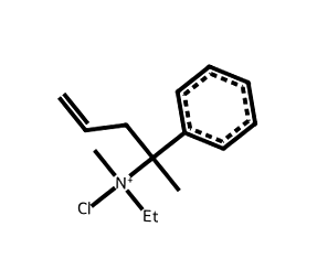 C=CCC(C)(c1ccccc1)[N+](C)(Cl)CC